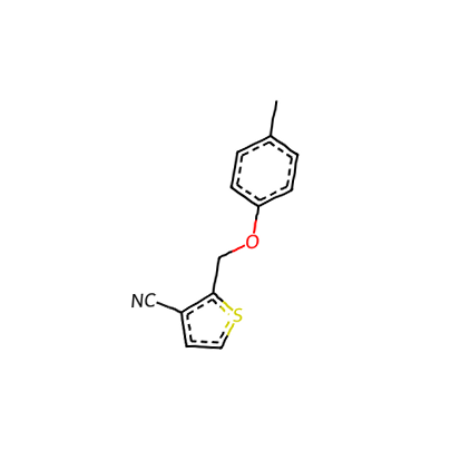 Cc1ccc(OCc2sccc2C#N)cc1